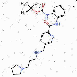 CC(C)(C)OC(=O)Nc1ccccc1NC(=O)c1ccc(CNCCCN2CCCC2)cn1